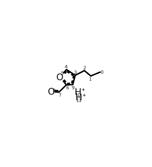 CCCc1coc(C=O)c1.[H+].[H+]